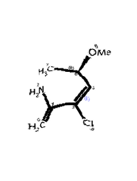 C=C(N)/C(Cl)=C\[C@@H](C)OC